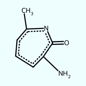 Cc1cccc(N)c(=O)n1